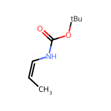 C/C=C\NC(=O)OC(C)(C)C